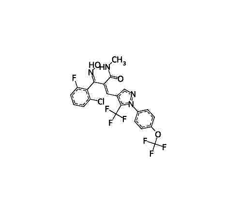 CNC(=O)C(=C\c1cnn(-c2ccc(OC(F)(F)F)cc2)c1C(F)(F)F)/C(=N\O)c1c(F)cccc1Cl